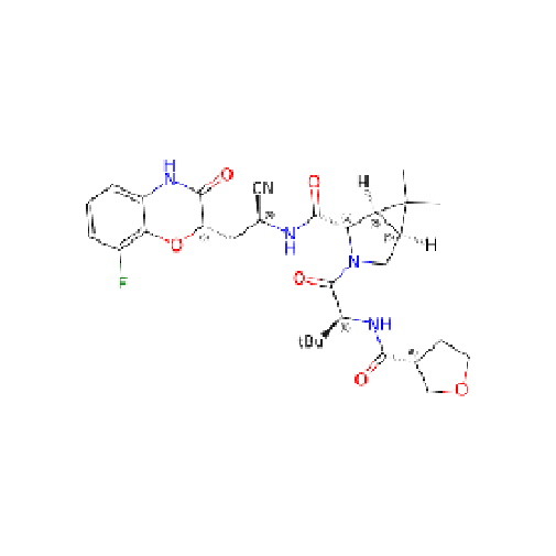 CC(C)(C)[C@H](NC(=O)[C@@H]1CCOC1)C(=O)N1C[C@H]2[C@@H]([C@H]1C(=O)N[C@H](C#N)C[C@@H]1Oc3c(F)cccc3NC1=O)C2(C)C